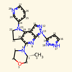 C[C@@H]1COCCN1c1nc2c(cnn2-c2cc[nH]n2)c2c1CCN2c1cccnc1